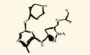 Cc1ncc(OC2CCNCC2)nc1Nc1cc(OC(F)F)[nH]n1